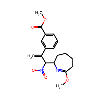 C=C(c1cccc(C(=O)OC)c1)C(C1CCCCC(OC)=N1)[N+](=O)[O-]